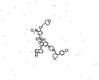 CC1(C)CCC(CN2CCN(c3ccc(C(=O)N[S+]([O-])c4ccc(OCCC5CCOCC5)c([N+](=O)[O-])c4)c(Oc4cccc5[nH]ccc45)c3)CC2)=C(c2ccc(Cl)cc2)C1